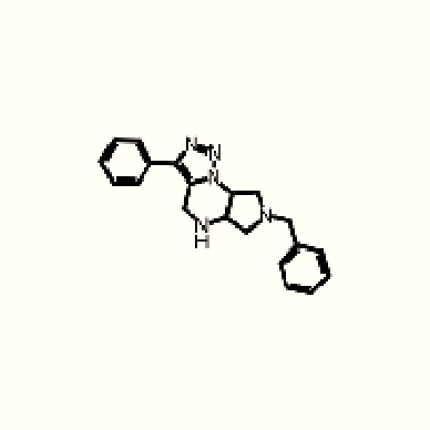 c1ccc(CN2CC3NCc4c(-c5ccccc5)nnn4C3C2)cc1